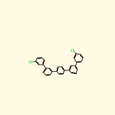 Clc1cccc(-c2cccc(-c3ccc(-c4cccc(-c5cccc(Cl)c5)c4)cc3)c2)c1